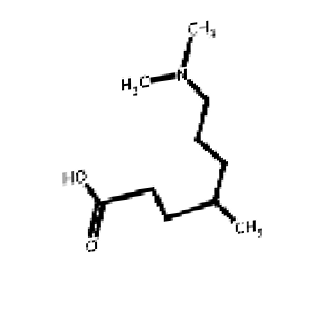 CC(CCCN(C)C)CCC(=O)O